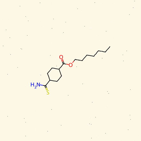 CCCCCCCOC(=O)C1CCC(C(N)=S)CC1